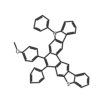 COc1ccc(-c2c(-c3ccccc3)c3cc4sc5ccccc5c4cc3c3cc4c5ccccc5n(-c5ccccc5)c4cc23)cc1